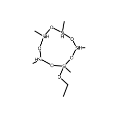 CCO[Si]1(C)O[SiH](C)O[SiH](C)O[SiH](C)O[SiH](C)O1